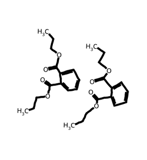 CCCOC(=O)c1ccccc1C(=O)OCCC.CCCOC(=O)c1ccccc1C(=O)OCCC